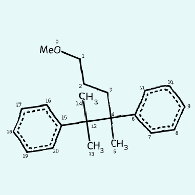 COCCCC(C)(c1ccccc1)C(C)(C)c1ccccc1